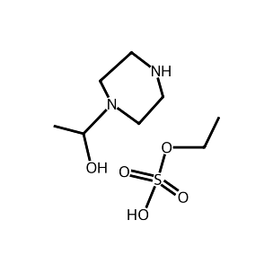 CC(O)N1CCNCC1.CCOS(=O)(=O)O